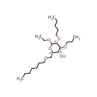 CCCCCCCOC[C@H]1OC(OCC)[C@H](OCCCCC)[C@@H](OCCC)[C@@H]1O